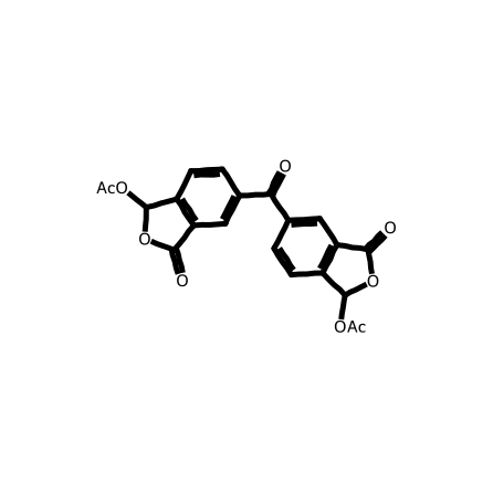 CC(=O)OC1OC(=O)c2cc(C(=O)c3ccc4c(c3)C(=O)OC4OC(C)=O)ccc21